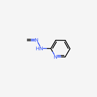 C=NNc1ccccn1